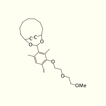 COCCOCCOc1c(I)cc(C)c(C2OC3CCCCCCCC(CC3)O2)c1C